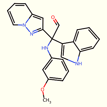 COc1cccc(NC(C=O)(c2cc3ccccn3n2)c2c[nH]c3ccccc23)c1